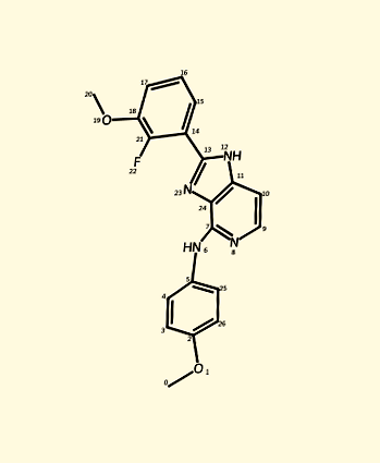 COc1ccc(Nc2nccc3[nH]c(-c4cccc(OC)c4F)nc23)cc1